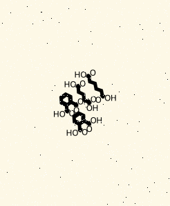 O=C(O)CCCC(=O)O.O=C(O)CCCCC(=O)O.O=C(O)c1ccccc1C(=O)O.O=C(O)c1ccccc1C(=O)O